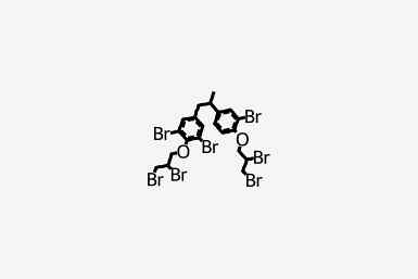 CC(Cc1cc(Br)c(OCC(Br)CBr)c(Br)c1)c1ccc(OCC(Br)CBr)c(Br)c1